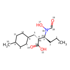 CCC[C@@H]([C@@H](CC1CCC(C)CC1)C(=O)O)N(O)C=O